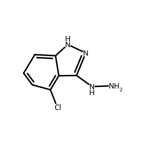 NNc1n[nH]c2cccc(Cl)c12